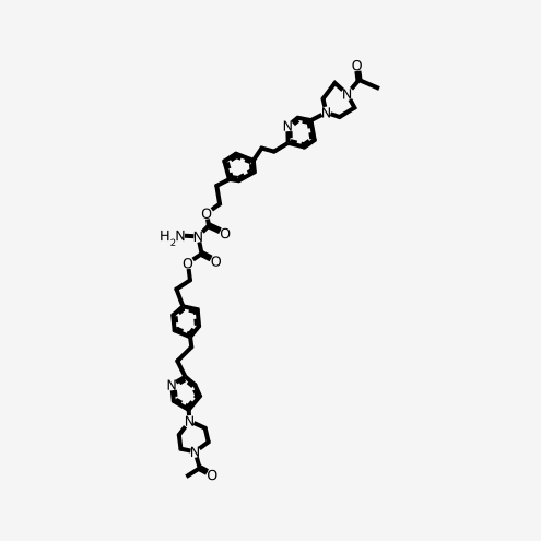 CC(=O)N1CCN(c2ccc(CCc3ccc(CCOC(=O)N(N)C(=O)OCCc4ccc(CCc5ccc(N6CCN(C(C)=O)CC6)cn5)cc4)cc3)nc2)CC1